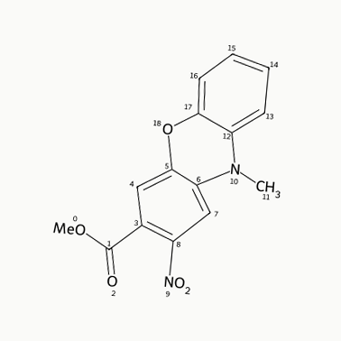 COC(=O)c1cc2c(cc1[N+](=O)[O-])N(C)c1ccccc1O2